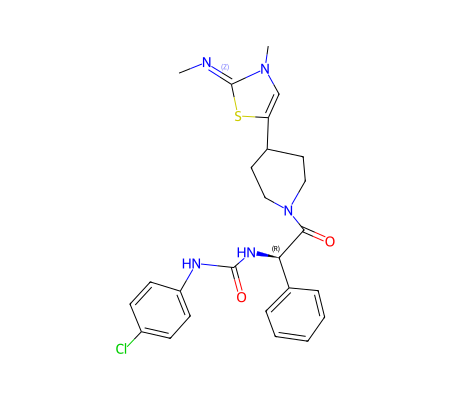 C/N=c1\sc(C2CCN(C(=O)[C@H](NC(=O)Nc3ccc(Cl)cc3)c3ccccc3)CC2)cn1C